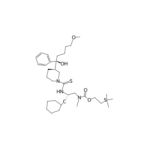 COCCCC[C@@](O)(c1ccccc1)[C@@H]1CCCN(C(=S)N[C@@H](CC2CCCCC2)CN(C)C(=O)OCC[Si](C)(C)C)C1